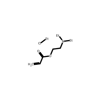 C=CC(=O)OCCN(CC)CC.CCCl